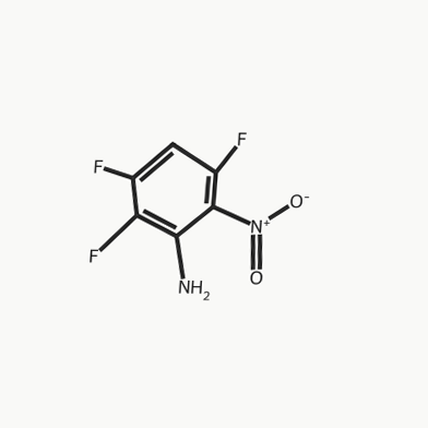 Nc1c(F)c(F)cc(F)c1[N+](=O)[O-]